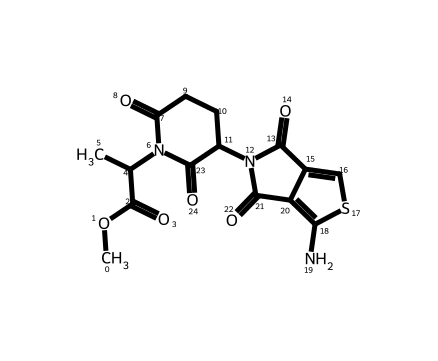 COC(=O)C(C)N1C(=O)CCC(N2C(=O)c3csc(N)c3C2=O)C1=O